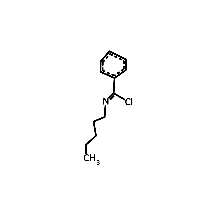 CCCCCN=C(Cl)c1ccccc1